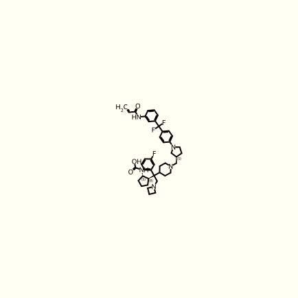 C=CC(=O)Nc1cccc(C(F)(F)c2ccc(N3CC[C@@H](CN4CCC(C(CN5CCC5)(c5cccc(F)c5)[C@H]5CCC[C@@H]5NC(=O)O)CC4)C3)cc2)c1